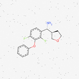 N[C@@H](c1ccc(F)c(Oc2ccccc2)c1F)[C@H]1CCOC1